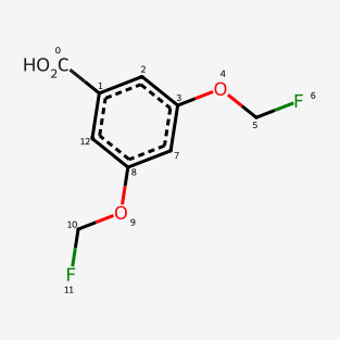 O=C(O)c1cc(OCF)cc(OCF)c1